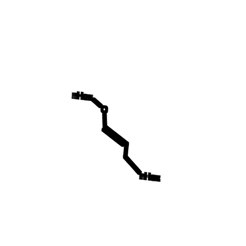 CCCCCCCC=COCCCCCC